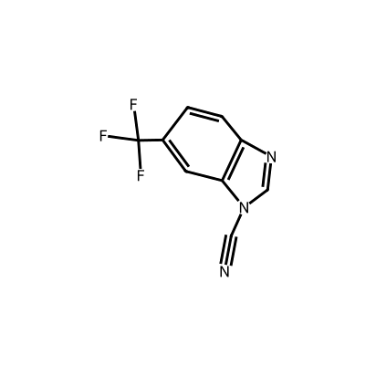 N#Cn1cnc2ccc(C(F)(F)F)cc21